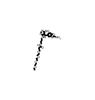 CCOCCOCCOCCOCCC(=O)NCCCCn1nc(-c2ccc3oc(N)nc3c2)c2c(N)ncnc21